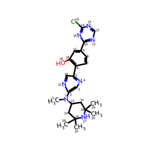 CN(c1cnc(-c2ccc(-c3ncnc(Cl)n3)cc2O)cn1)C1CC(C)(C)NC(C)(C)C1